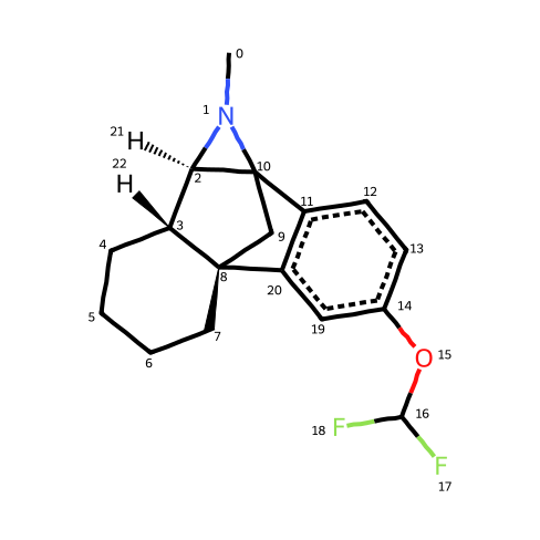 CN1[C@@H]2[C@H]3CCCC[C@]34CC21c1ccc(OC(F)F)cc14